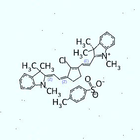 CN1/C(=C\C=C2\CCC(/C=C/C3=[N+](C)c4ccccc4C3(C)C)=C2Cl)C(C)(C)c2ccccc21.Cc1ccc(S(=O)(=O)[O-])cc1